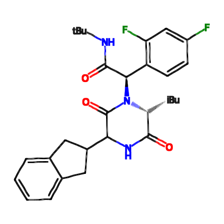 CC[C@@H](C)[C@@H]1C(=O)NC(C2Cc3ccccc3C2)C(=O)N1[C@@H](C(=O)NC(C)(C)C)c1ccc(F)cc1F